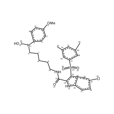 COc1ccc(N(CCCCCNC(=O)c2[nH]c3ccc(Cl)cc3c2S(=O)(=O)c2cc(C)cc(C)c2)S(=O)(=O)O)cc1